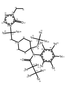 [2H]c1c([2H])c([2H])c(N(C(=O)C([2H])([2H])C([2H])([2H])[2H])C2(OC([2H])([2H])[2H])CCN(CC([2H])([2H])n3nnn(CC)c3=O)CC2)c([2H])c1[2H]